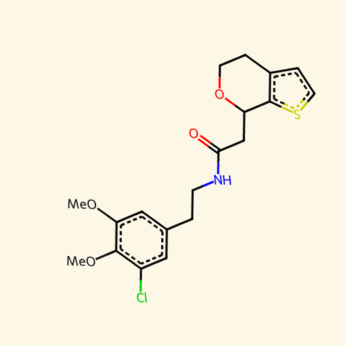 COc1cc(CCNC(=O)CC2OCCc3ccsc32)cc(Cl)c1OC